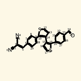 N#CC(C#N)=Cc1ccc(-c2sccc2-c2ccsc2-c2ccc(C=O)cc2)cc1